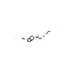 C/C(=C\OC=O)OC1CC[C@]2(O)C[C@@H](C(C)(C)[C@H](C)C[C@H](C)OC(=O)NCCCC(=O)O)CC[C@]12C